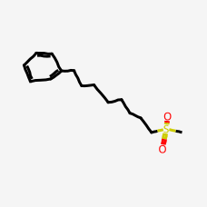 CS(=O)(=O)CCCCCCCCc1ccccc1